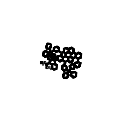 CN(C)c1c2ccccc2c(-c2cc3c4c(c2)N(c2cccc([Si](c5ccccc5)(c5ccccc5)c5ccccc5)c2)c2ccc(-c5c(-c6ccccc6)cccc5-c5ccccc5)cc2B4c2ccccc2N3c2cccc([Si](c3ccccc3)(c3ccccc3)c3ccccc3)c2)c2ccccc12